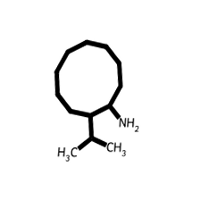 CC(C)C1CCCCCCCCC1N